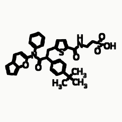 CC(C)(C)c1ccc(C(Cc2ccc(C(=O)NCCS(=O)(=O)O)s2)C(=O)N(c2ccccc2)c2ccc3cccc-3o2)cc1